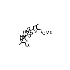 CCc1sc(NC(=O)NS(=O)(=O)c2cc(C)c(CCOC)s2)nc1C